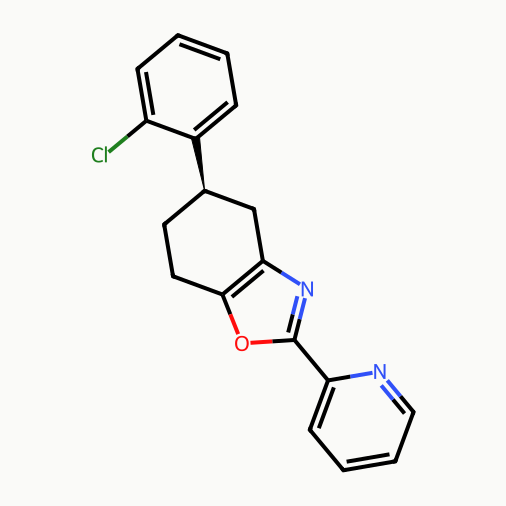 Clc1ccccc1[C@@H]1CCc2oc(-c3ccccn3)nc2C1